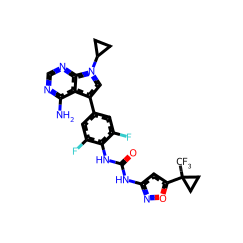 Nc1ncnc2c1c(-c1cc(F)c(NC(=O)Nc3cc(C4(C(F)(F)F)CC4)on3)c(F)c1)cn2C1CC1